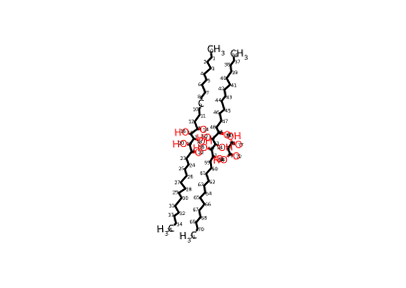 CCCCCCCCCCCCCC(=O)C(O)C(O)C(O)C(=O)CCCCCCCCCCCCC.CCCCCCCCCCCCCC(=O)C(O)C(O)C(O)C(=O)CCCCCCCCCCCCC.O=C(O)CC(=O)O